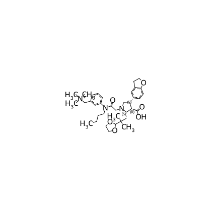 CCCCN(C(=O)CN1C[C@H](c2ccc3c(c2)CCO3)[C@@H](C(=O)O)[C@@H]1CC(C)(C)C1OCCO1)c1cccc(C[N+](C)(C)C)c1